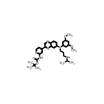 COc1cc(OC)cc(N(CCCNC(C)C)c2ccc3ncc(-c4ccnc(NC(=O)OC(C)(C)C)c4)nc3c2)c1